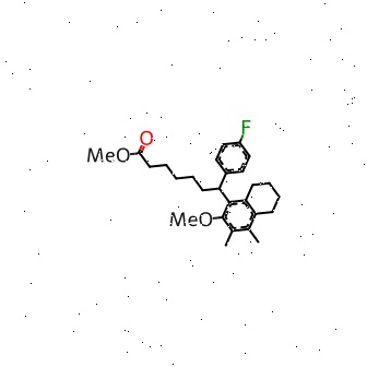 COC(=O)CCCCCC(c1ccc(F)cc1)c1c2c(c(C)c(C)c1OC)CCCC2